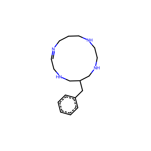 C1=NCCCNCCNCC(Cc2ccccc2)CNC1